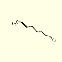 CC=CCCCCCCl